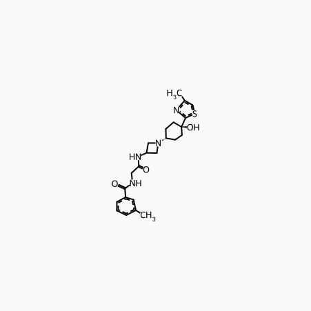 Cc1cccc(C(=O)NCC(=O)NC2CN([C@H]3CC[C@@](O)(c4nc(C)cs4)CC3)C2)c1